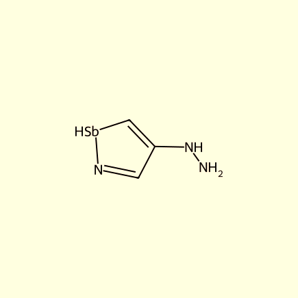 NNC1=[CH][SbH][N]=C1